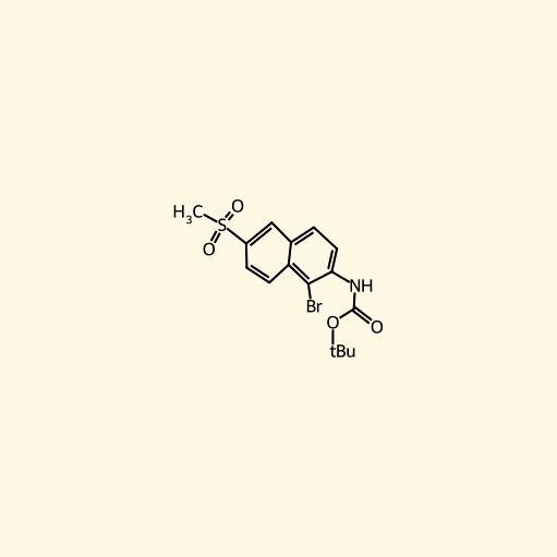 CC(C)(C)OC(=O)Nc1ccc2cc(S(C)(=O)=O)ccc2c1Br